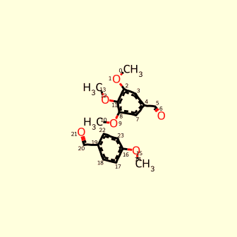 COc1cc(C=O)cc(OC)c1OC.COc1ccc(C=O)cc1